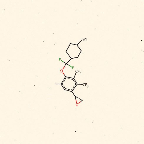 CCCC1CCC(C(F)(F)Oc2c(C)cc(C3CO3)c(C(F)(F)F)c2C(F)(F)F)CC1